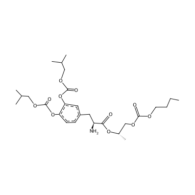 CCCCOC(=O)OC[C@H](C)OC(=O)[C@@H](N)Cc1ccc(OC(=O)OCC(C)C)c(OC(=O)OCC(C)C)c1